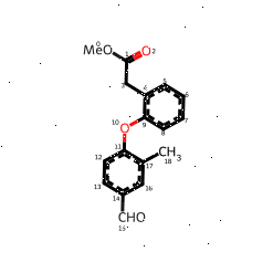 COC(=O)Cc1ccccc1Oc1ccc(C=O)cc1C